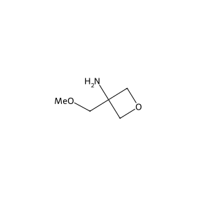 COCC1(N)COC1